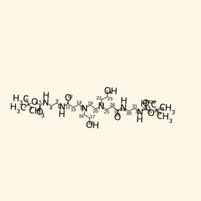 CC(C)(C)OC(=O)NCCNC(=O)CCN(CCO)CCN(CCO)CCC(=O)NCCNC(=O)OC(C)(C)C